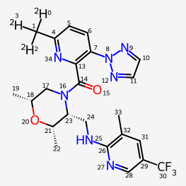 [2H]C([2H])([2H])c1ccc(-n2nccn2)c(C(=O)N2C[C@@H](C)O[C@@H](C)[C@H]2CNc2ncc(C(F)(F)F)cc2C)n1